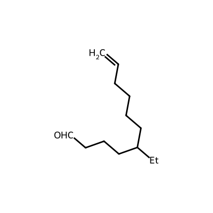 C=CCCCCC(CC)CCCC=O